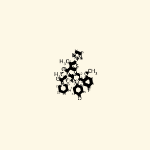 COc1ccc(F)cc1[C@H](Cn1c(=O)n(C(C)(C)C(=O)N2CCCCC2)c(=O)c2c(C)c(-n3nccn3)sc21)OC1CCC(=O)CC1